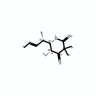 CC=C[C@H](C)[C@@H]1OC(=O)C(C)(C)C(=O)[C@@H]1C